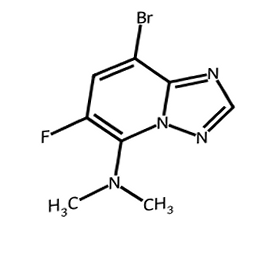 CN(C)c1c(F)cc(Br)c2ncnn12